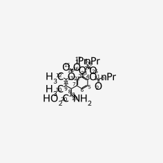 CCCC(=O)Oc1ccc(C(C(C)C(C)OC(=O)OC(C)C)[C@H](N)C(=O)O)cc1OC(=O)CCC